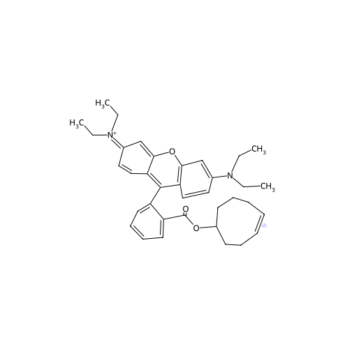 CCN(CC)c1ccc2c(-c3ccccc3C(=O)OC3CC/C=C\CCC3)c3ccc(=[N+](CC)CC)cc-3oc2c1